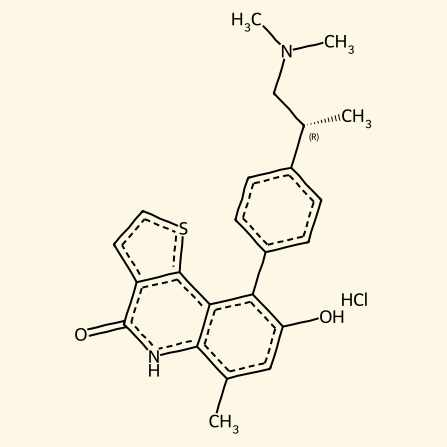 Cc1cc(O)c(-c2ccc([C@@H](C)CN(C)C)cc2)c2c1[nH]c(=O)c1ccsc12.Cl